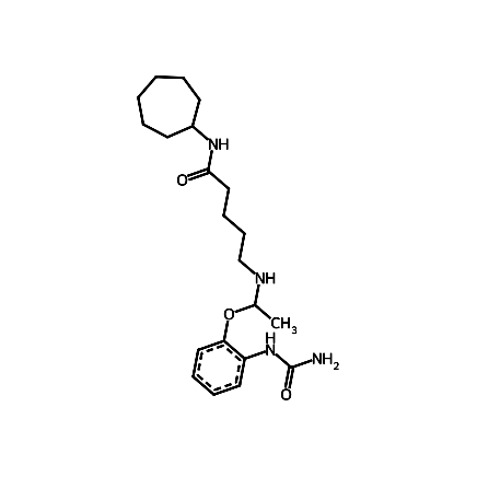 CC(NCCCCC(=O)NC1CCCCCC1)Oc1ccccc1NC(N)=O